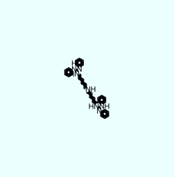 C(CCCNC(=NC1CCCCC1)NC1CCCCC1)CCNCCCCCCNC(=NC1CCCCC1)NC1CCCCC1